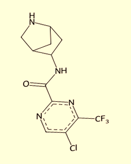 O=C(NC1CC2CC1CN2)c1ncc(Cl)c(C(F)(F)F)n1